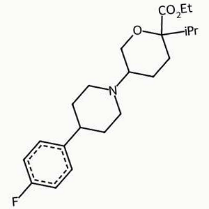 CCOC(=O)C1(C(C)C)CCC(N2CCC(c3ccc(F)cc3)CC2)CO1